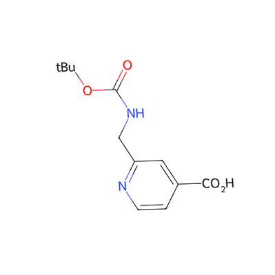 CC(C)(C)OC(=O)NCc1cc(C(=O)O)ccn1